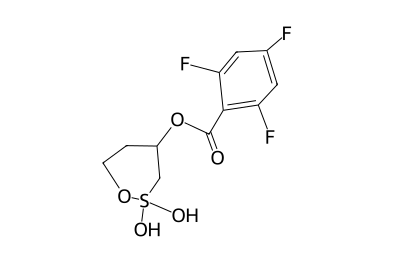 O=C(OC1CCOS(O)(O)C1)c1c(F)cc(F)cc1F